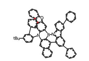 CC(C)(C)c1ccc(N2c3cc4c(cc3B3c5c2cc2ccccc2c5-c2cc(-c5ccccc5)cc5c6cc(-c7ccccc7)ccc6n3c25)oc2ccccc24)c(-c2ccccc2)c1